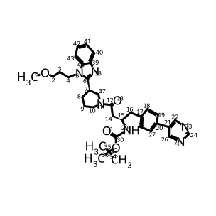 COCCCn1c([C@@H]2CCCN(C(=O)C[C@@H](Cc3ccc(-c4cncnc4)cc3)NC(=O)OC(C)(C)C)C2)nc2ccccc21